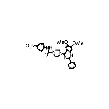 COc1cc2nc(-c3ccccc3)nc(N3CCN(C(=O)Nc4ccc([N+](=O)[O-])cc4)CC3)c2cc1OC